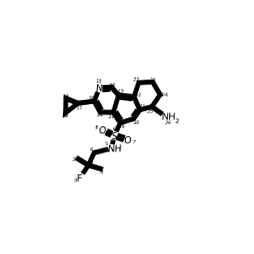 CC(C)(F)CNS(=O)(=O)c1cc2c(c3cnc(C4CC4)cc13)CCCC2N